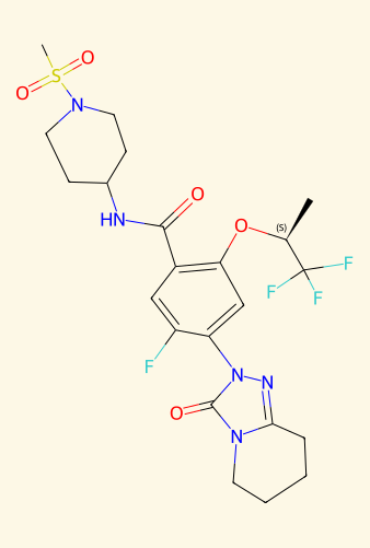 C[C@H](Oc1cc(-n2nc3n(c2=O)CCCC3)c(F)cc1C(=O)NC1CCN(S(C)(=O)=O)CC1)C(F)(F)F